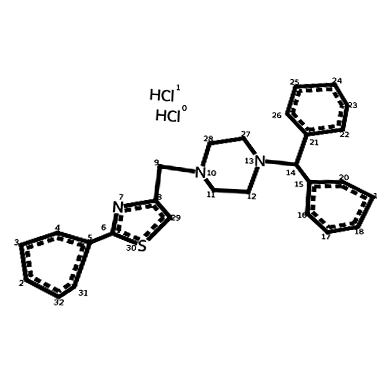 Cl.Cl.c1ccc(-c2nc(CN3CCN(C(c4ccccc4)c4ccccc4)CC3)cs2)cc1